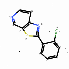 Clc1ccccc1-c1nc2ccncc2s1